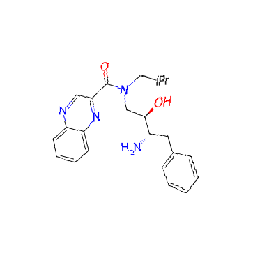 CC(C)CN(C[C@@H](O)[C@@H](N)Cc1ccccc1)C(=O)c1cnc2ccccc2n1